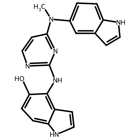 CN(c1ccc2[nH]ccc2c1)c1ccnc(Nc2c(O)ccc3[nH]ccc23)n1